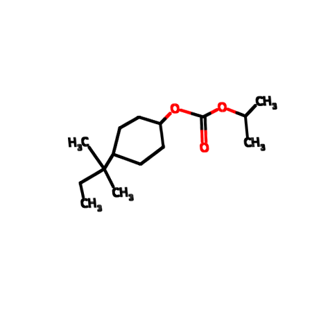 CCC(C)(C)C1CCC(OC(=O)OC(C)C)CC1